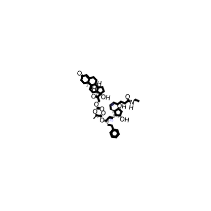 CCNC(=O)CCC/C=C\C[C@@H]1[C@@H](/C=C/[C@H](CCc2ccccc2)OC(=O)[C@@H](C)OC(=O)OCC(=O)[C@@]2(O)CC[C@H]3[C@@H]4CCC5=CC(=O)CC[C@]5(C)C4=CC[C@@]32C)[C@H](O)C[C@@H]1O